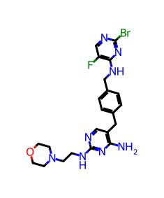 Nc1nc(NCCN2CCOCC2)ncc1Cc1ccc(CNc2nc(Br)ncc2F)cc1